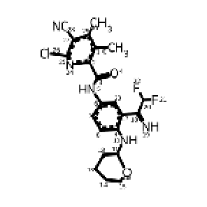 Cc1c(C(=O)Nc2ccc(NC3CCCCO3)c(C(=N)C(F)F)c2)nc(Cl)c(C#N)c1C